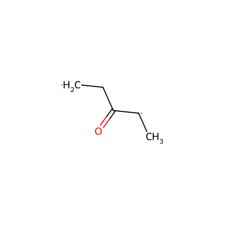 [CH2]CC(=O)[CH]C